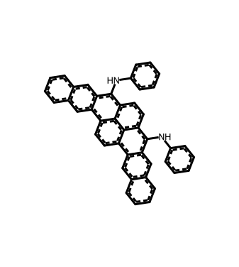 c1ccc(Nc2c3cc4ccccc4cc3c3ccc4c5cc6ccccc6cc5c(Nc5ccccc5)c5ccc2c3c54)cc1